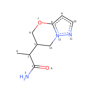 CC(C(N)=O)C1COc2ccnn2C1